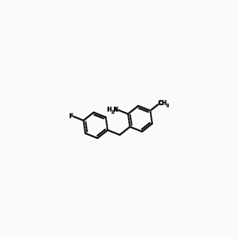 Cc1ccc(Cc2ccc(F)cc2)c(N)c1